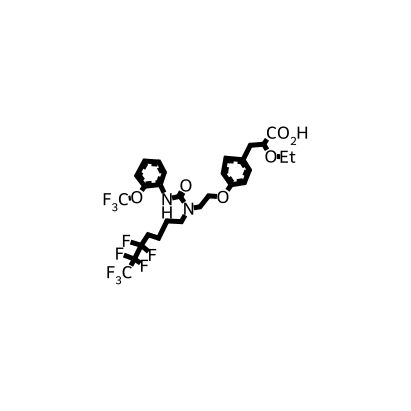 CCOC(Cc1ccc(OCCN(CCCCC(F)(F)C(F)(F)C(F)(F)F)C(=O)Nc2ccccc2OC(F)(F)F)cc1)C(=O)O